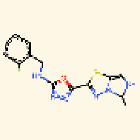 CC1NC=C2SC(c3nnc(NCc4ccccc4F)o3)=NN21